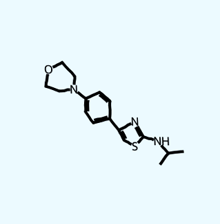 CC(C)Nc1nc(-c2ccc(N3CCOCC3)cc2)cs1